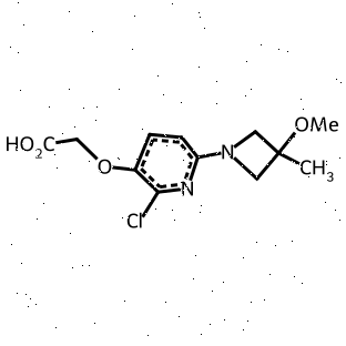 COC1(C)CN(c2ccc(OCC(=O)O)c(Cl)n2)C1